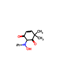 CC(C)N(O)C1C(=O)C=CC(C)(C)C1=O